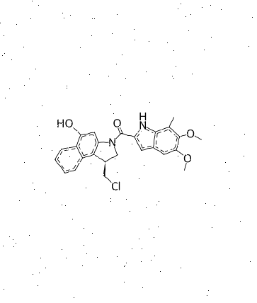 COc1cc2cc(C(=O)N3C[C@@H](CCl)c4c3cc(O)c3ccccc43)[nH]c2c(C)c1OC